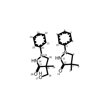 CC1(C)CN(c2ccccc2)NC1=O.CC1(CO)CN(c2ccccc2)NC1=O